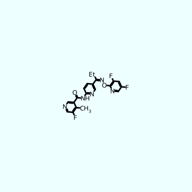 CCC(=NOc1ncc(F)cc1F)c1ccc(NC(=O)c2cncc(F)c2C)nc1